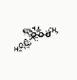 CCc1cc(-c2cccc(C)n2)ccc1-c1cc2cnc(SC)nc2n(CC[C@H]2OC[C@@H](NC(=O)O)CO2)c1=O